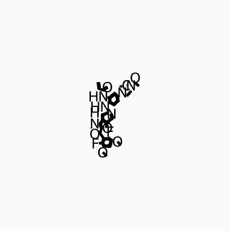 C=CC(=O)Nc1cc(N2CCN(C(C)=O)CC2)ccc1Nc1cc2c(NC)c(C(=O)c3c(F)c(OC)cc(OC)c3F)oc2cn1